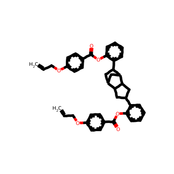 C=CCOc1ccc(C(=O)Oc2ccccc2C2CC3C4CC(c5ccccc5OC(=O)c5ccc(OCC=C)cc5)C(C4)C3C2)cc1